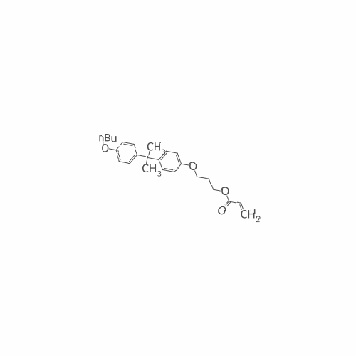 C=CC(=O)OCCCOc1ccc(C(C)(C)c2ccc(OCCCC)cc2)cc1